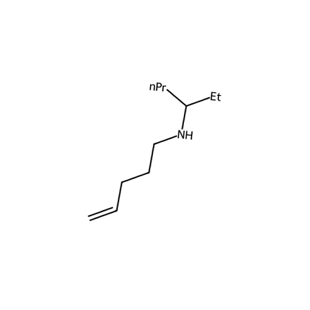 C=CCCCNC(CC)CCC